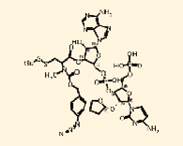 CN(C(=O)OCc1ccc(N=[N+]=[N-])cc1)C(CSSC(C)(C)C)C(=O)O[C@H]1[C@@H](O)[C@H](n2cnc3c(N)ncnc32)O[C@@H]1COP(=O)(O)O[C@H]1[C@@H](O[C@@H]2CCCO2)[C@H](n2ccc(N)nc2=O)O[C@@H]1COP(=O)(O)O